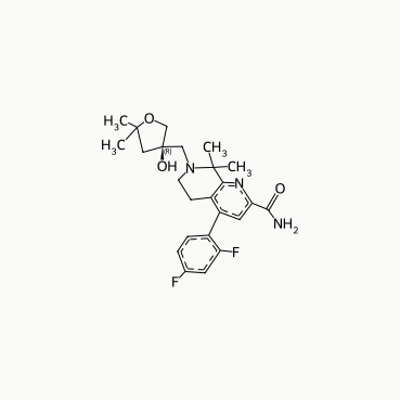 CC1(C)C[C@@](O)(CN2CCc3c(-c4ccc(F)cc4F)cc(C(N)=O)nc3C2(C)C)CO1